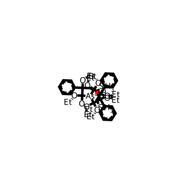 CCOC(C[SiH3])(c1ccccc1)C(OCC)(OCC)[As](C(OCC)(OCC)C(C[SiH3])(OCC)c1ccccc1)C(OCC)(OCC)C(C[SiH3])(OCC)c1ccccc1